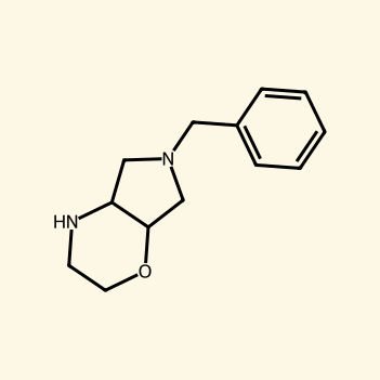 c1ccc(CN2CC3NCCOC3C2)cc1